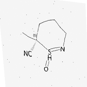 C[C@@]1(C#N)CCCN=[SH]1=O